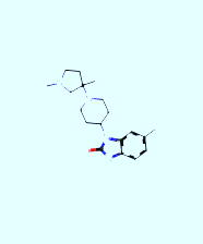 Cc1ccc2[nH]c(=O)n(C3CCN(C4(C)CCN(C)C4)CC3)c2c1